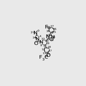 CN(C)C1CN(C(=O)N2CC(c3ccc(OC(F)(F)F)cc3)CC(c3nc(-c4cccc(F)c4)no3)C2)C1